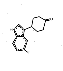 O=C1CCC(c2c[nH]c3ccc(F)cc23)CC1